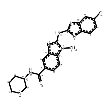 Cn1c(Nc2nc3ccc(Cl)cc3s2)nc2cc(C(=O)N[C@@H]3CCCNC3)ccc21